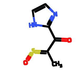 CC(=S=O)C(=O)c1ncc[nH]1